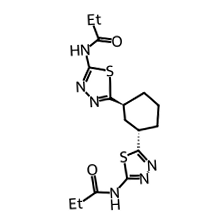 CCC(=O)Nc1nnc([C@H]2CCC[C@H](c3nnc(NC(=O)CC)s3)C2)s1